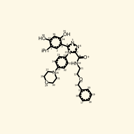 CC(C)c1cc(-c2nnc(C(=O)NCCOCc3ccccc3)n2-c2ccc(N3CCOCC3)cc2)c(O)cc1O